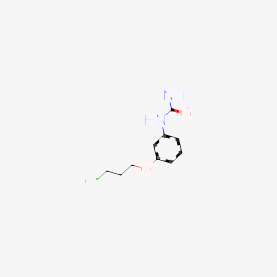 NC(=O)Nc1cccc(OCCCCl)c1